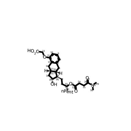 CCCCC[C@@H](CC[C@@H]1[C@H]2Cc3cccc(OCC(=O)O)c3C[C@H]2C[C@H]1O)OC(=O)CCC(=O)N(C)C